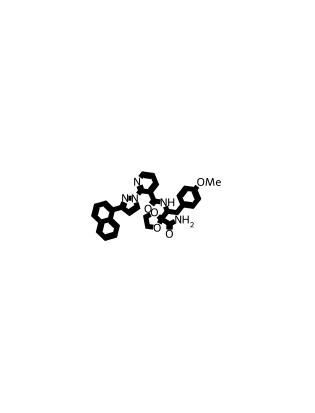 COc1ccc(CC(NC(=O)c2cccnc2-n2ccc(-c3cccc4ccccc34)n2)C2(C(N)=O)OCCO2)cc1